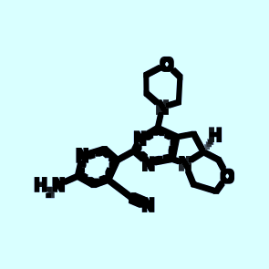 N#Cc1cc(N)ncc1-c1nc(N2CCOCC2)c2c(n1)N1CCOC[C@@H]1C2